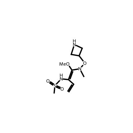 C=C/C(NS(C)(=O)=O)=C(/OC)N(C)OC1CNC1